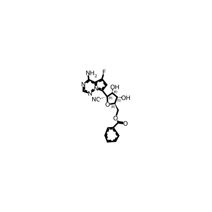 N#C[C@@]1(c2cc(F)c3c(N)ncnn23)O[C@H](COC(=O)c2ccccc2)[C@@H](O)[C@H]1O